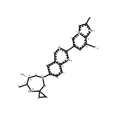 Cc1cn2cc(-c3ncc4cc(N5C[C@@H](C)C(C)NC6(CC6)C5)ccc4n3)cc(F)c2n1